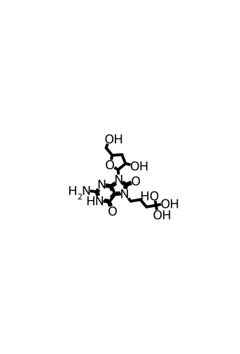 Nc1nc2c(c(=O)[nH]1)n(CCCC(O)(O)O)c(=O)n2C1OC(CO)CC1O